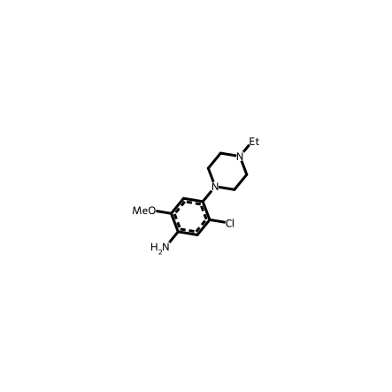 CCN1CCN(c2cc(OC)c(N)cc2Cl)CC1